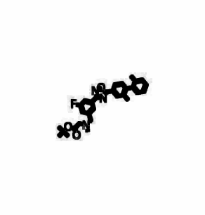 Cc1ccccc1-c1ccc(-c2nc(-c3cc(F)cc(CN(C)CC(=O)OC(C)(C)C)c3)no2)cc1C